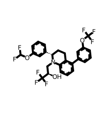 O[C@H](CN1c2cccc(-c3cccc(OC(F)(F)F)c3)c2CC[C@H]1c1cccc(OC(F)F)c1)C(F)(F)F